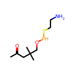 CC(=O)CC(C)(C)COPSCCN